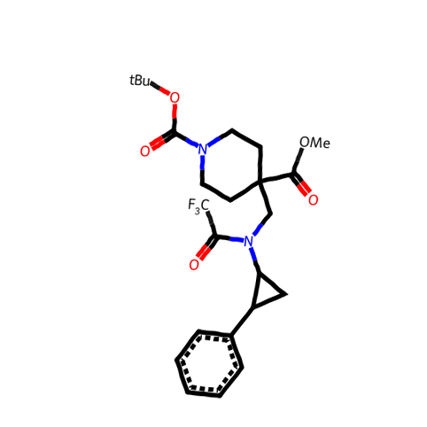 COC(=O)C1(CN(C(=O)C(F)(F)F)C2CC2c2ccccc2)CCN(C(=O)OC(C)(C)C)CC1